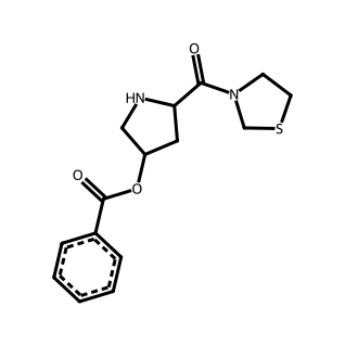 O=C(OC1CNC(C(=O)N2CCSC2)C1)c1ccccc1